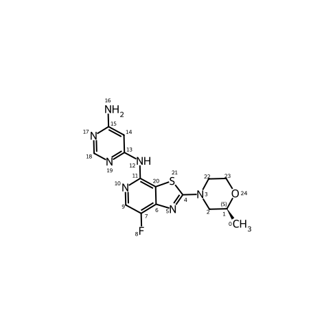 C[C@H]1CN(c2nc3c(F)cnc(Nc4cc(N)ncn4)c3s2)CCO1